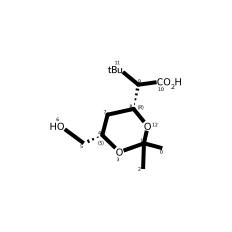 CC1(C)O[C@H](CO)C[C@H](C(C(=O)O)C(C)(C)C)O1